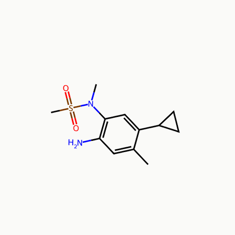 Cc1cc(N)c(N(C)S(C)(=O)=O)cc1C1CC1